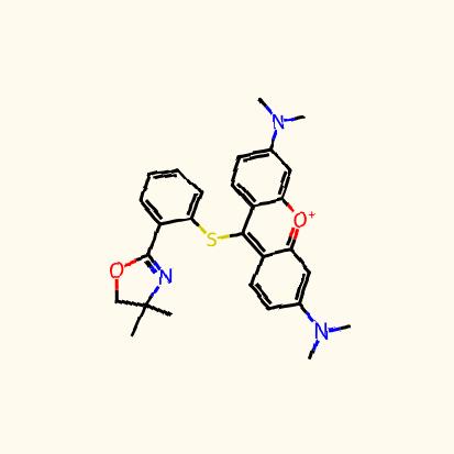 CN(C)c1ccc2c(Sc3ccccc3C3=NC(C)(C)CO3)c3ccc(N(C)C)cc3[o+]c2c1